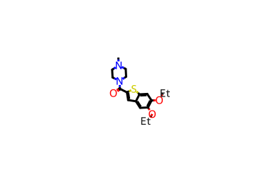 CCOc1cc2cc(C(=O)N3CCN(C)CC3)sc2cc1OCC